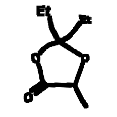 CCC1(CC)OC(=O)C(C)O1